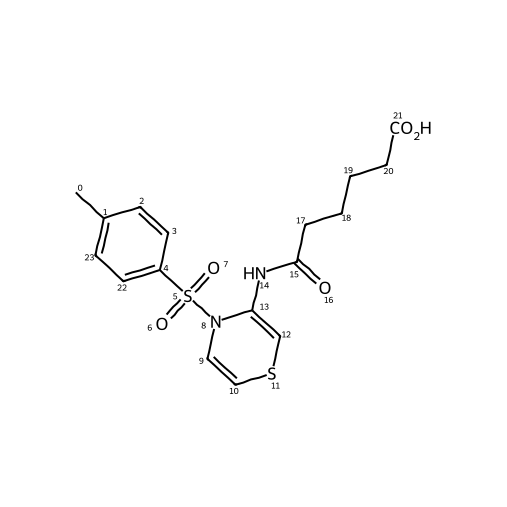 Cc1ccc(S(=O)(=O)N2C=CSC=C2NC(=O)CCCCC(=O)O)cc1